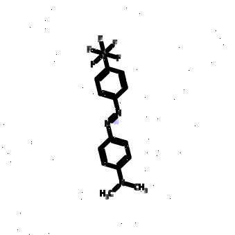 CN(C)c1ccc(/N=N/c2ccc(S(F)(F)(F)(F)F)cc2)cc1